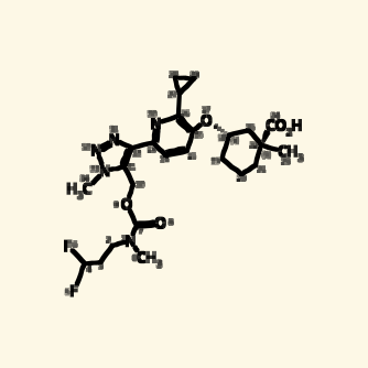 CN(CCC(F)F)C(=O)OCc1c(-c2ccc(O[C@H]3CCC[C@](C)(C(=O)O)C3)c(C3CC3)n2)nnn1C